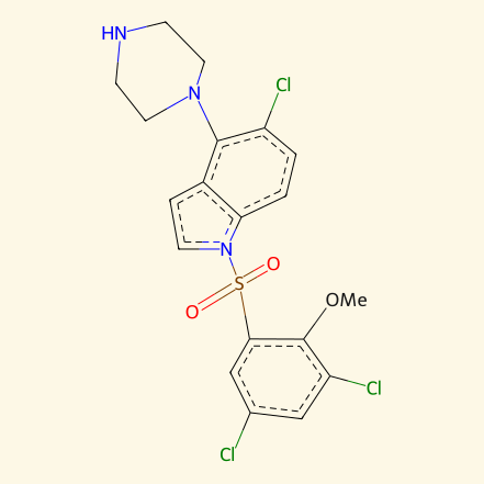 COc1c(Cl)cc(Cl)cc1S(=O)(=O)n1ccc2c(N3CCNCC3)c(Cl)ccc21